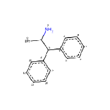 CC(C)C(N)C(c1ccccc1)c1ccccc1